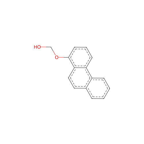 OCOc1cccc2c1ccc1ccccc12